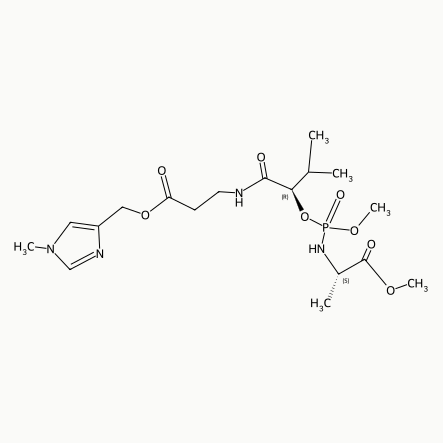 COC(=O)[C@H](C)NP(=O)(OC)O[C@@H](C(=O)NCCC(=O)OCc1cn(C)cn1)C(C)C